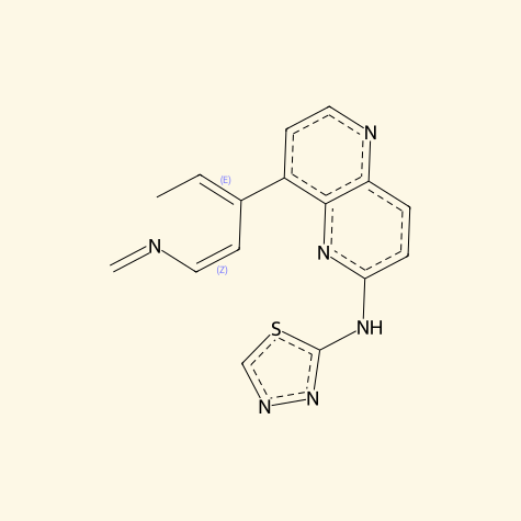 C=N/C=C\C(=C/C)c1ccnc2ccc(Nc3nncs3)nc12